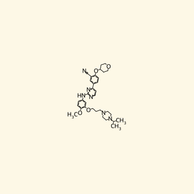 COc1ccc(Nc2nccc(-c3ccc(OC4CCOCC4)c(C#N)c3)n2)cc1OCCCN1CCN(C(C)C)CC1